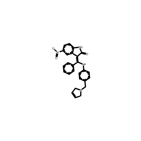 O=C1Nc2ccc([N+](=O)[O-])cc2/C1=C(/Nc1ccc(CN2CC=CC2)cc1)c1ccccc1